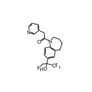 O=C(Cc1cccnc1)N1CCCCc2cc(C(O)(CF)C(F)(F)F)ccc21